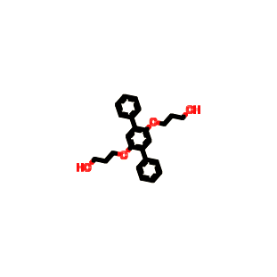 OCCCOc1cc(-c2ccccc2)c(OCCCO)cc1-c1ccccc1